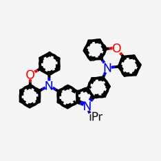 CC(C)n1c2ccc(N3c4ccccc4Oc4ccccc43)cc2c2cc(N3c4ccccc4Oc4ccccc43)ccc21